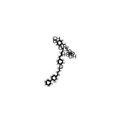 COc1ccc(CN(CCOP(=O)(O)O)C(=O)CCCCc2ccc(OCCCCc3ccc(-c4ccccc4)cc3)cc2)cc1